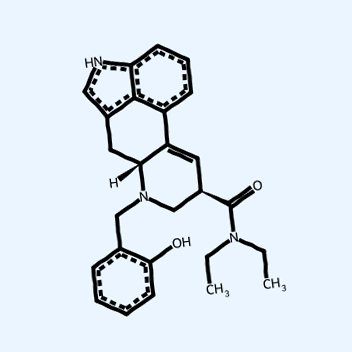 CCN(CC)C(=O)[C@@H]1C=C2c3cccc4[nH]cc(c34)C[C@H]2N(Cc2ccccc2O)C1